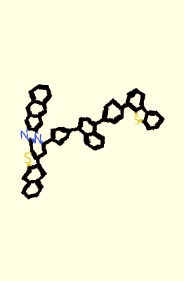 c1ccc2cc3cc4c(cc3cc2c1)nc1c2sc3cc5ccccc5cc3c2cc(-c2ccc(-c3ccc(-c5ccc(-c6cccc7c6sc6ccccc67)cc5)c5ccccc35)cc2)n41